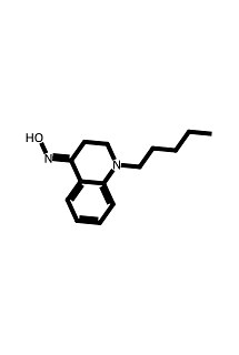 CCCCCN1CCC(=NO)c2ccccc21